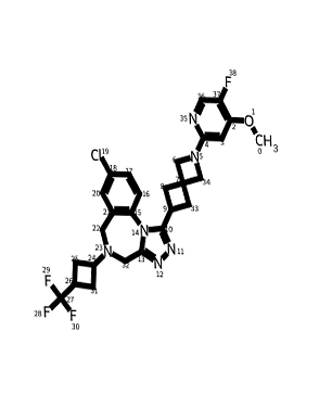 COc1cc(N2CC3(CC(c4nnc5n4-c4ccc(Cl)cc4CN(C4CC(C(F)(F)F)C4)C5)C3)C2)ncc1F